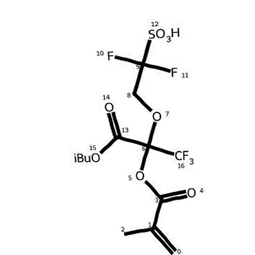 C=C(C)C(=O)OC(OCC(F)(F)S(=O)(=O)O)(C(=O)OCC(C)C)C(F)(F)F